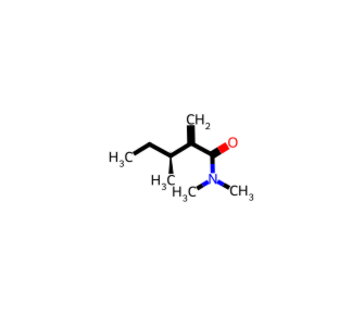 C=C(C(=O)N(C)C)[C@@H](C)CC